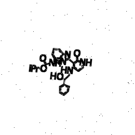 CC(C)OC(=O)Nc1cccc2nc(-c3c(NC[C@@H](O)c4ccccc4)cc[nH]c3=O)[nH]c12